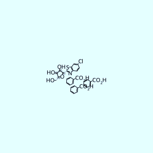 O=C(O)c1ccccc1.O=C(O)c1ccccc1.O=C(O)c1ccccc1.OC[C@H]1O[C@@H](c2nc3ccc(Cl)cc3s2)[C@H](O)[C@@H]1O